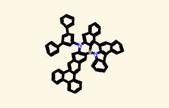 c1ccc(-c2cc(-c3ccccc3)cc(N3c4cc5cc6c7ccccc7c7ccccc7c6cc5cc4B4c5c3cc3ccccc3c5-c3cc5ccccc5c5c6ccccc6n4c35)c2)cc1